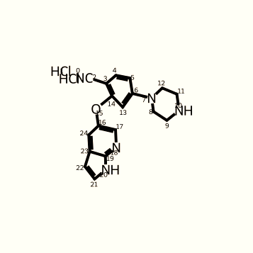 Cl.Cl.N#Cc1ccc(N2CCNCC2)cc1Oc1cnc2[nH]ccc2c1